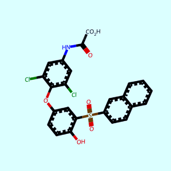 O=C(O)C(=O)Nc1cc(Cl)c(Oc2ccc(O)c(S(=O)(=O)c3ccc4ccccc4c3)c2)c(Cl)c1